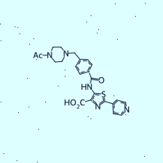 CC(=O)N1CCN(Cc2ccc(C(=O)Nc3sc(-c4ccncc4)nc3C(=O)O)cc2)CC1